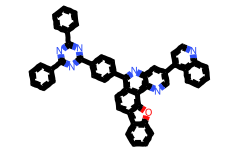 c1ccc(-c2nc(-c3ccccc3)nc(-c3ccc(-c4nc5cc(-c6ccnc7ccccc67)cnc5c5c4ccc4c6ccccc6oc45)cc3)n2)cc1